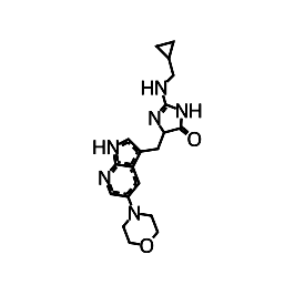 O=C1NC(NCC2CC2)=NC1Cc1c[nH]c2ncc(N3CCOCC3)cc12